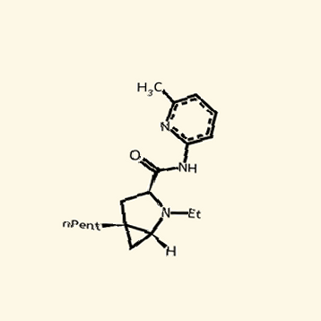 CCCCC[C@@]12C[C@@H](C(=O)Nc3cccc(C)n3)N(CC)[C@@H]1C2